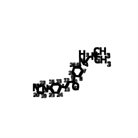 CN(C)CCNc1ccc(C(=O)C=Cc2ccc(-n3ccnc3)cc2)cc1